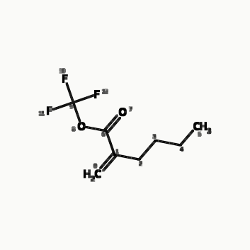 C=C(CCCC)C(=O)OC(F)(F)F